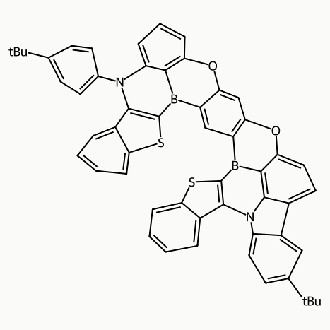 CC(C)(C)c1ccc(N2c3cccc4c3B(c3cc5c(cc3O4)Oc3ccc4c6cc(C(C)(C)C)ccc6n6c4c3B5c3sc4ccccc4c3-6)c3sc4ccccc4c32)cc1